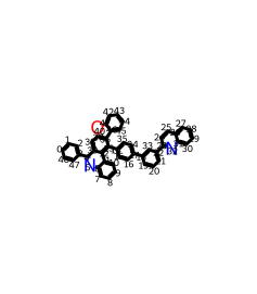 c1ccc(-c2nc3ccccc3c3c(-c4ccc(-c5cccc(-c6ccc7ccccc7n6)c5)cc4)c4c(cc23)oc2ccccc24)cc1